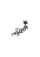 Cc1cc(C(=O)NC23CC(F)(C2)C3)cnc1N1CCc2ncc(-c3cn(C)nc3C)cc2C1